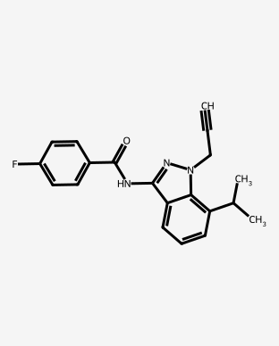 C#CCn1nc(NC(=O)c2ccc(F)cc2)c2cccc(C(C)C)c21